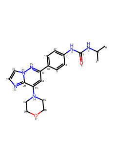 CC(C)NC(=O)Nc1ccc(-c2cc(N3CCOCC3)c3nccn3n2)cc1